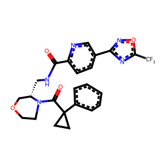 O=C(NC[C@H]1COCCN1C(=O)C1(c2ccccc2)CC1)c1ccc(-c2noc(C(F)(F)F)n2)cn1